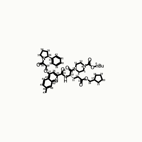 CCCCOC(=O)N1CCN(C(=O)[C@H](CCC(=O)OCC2CCCC2)NC(=O)c2cc(OCC(=O)N3CCC[C@H]3c3ccccc3)c3ccc(C)cc3n2)CC1